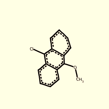 COc1c2ccccc2c(Cl)c2ccccc12